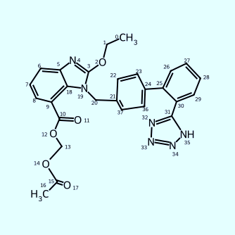 CCOc1nc2cccc(C(=O)OCOC(C)=O)c2n1Cc1ccc(-c2ccccc2-c2nnn[nH]2)cc1